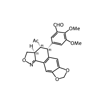 COc1cc([C@@H]2c3cc4c(cc3C3=NOC[C@H]3[C@@H]2C(C)=O)OCO4)cc(C=O)c1OC